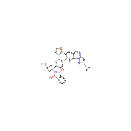 C[C@]1(O)C[C@](c2ccc(-c3nc4c(cnc5cc(C6CC6)nn54)cc3-c3cccs3)cc2)(N2C(=O)c3ccccc3C2=O)C1